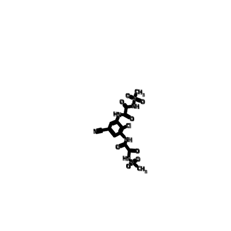 CS(=O)(=O)NC(=O)C(=O)Nc1cc(C#N)cc(NC(=O)C(=O)NS(C)(=O)=O)c1Cl